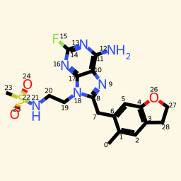 Cc1cc2c(cc1Cc1nc3c(N)nc(F)nc3n1CCNS(C)(=O)=O)OCC2